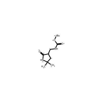 CC1(C)CC(CNC(=O)OC(C)(C)C)C(=O)N1